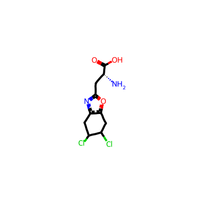 N[C@H](Cc1nc2c(o1)CC(Cl)C(Cl)C2)C(=O)O